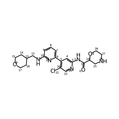 O=C(Nc1cc(-c2cccc(NCC3CCOCC3)n2)c(Cl)cn1)C1CNCCO1